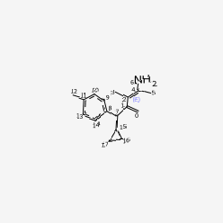 C=C(/C(C)=C(\C)N)C(c1ccc(C)cc1)C1CC1